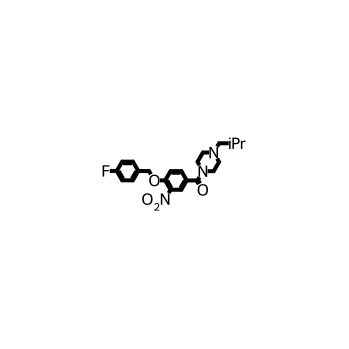 CC(C)CN1CCN(C(=O)c2ccc(OCc3ccc(F)cc3)c([N+](=O)[O-])c2)CC1